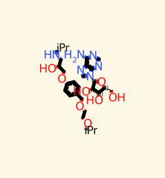 CC(C)NCC(O)COc1ccc(COCCOC(C)C)cc1.Nc1ncnc2c1ncn2[C@@H]1O[C@H](CO)[C@@H](O)[C@H]1O